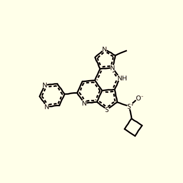 Cc1ncc2c3cc(-c4cncnc4)nc4sc([S+]([O-])C5CCC5)c([nH]n12)c43